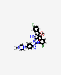 CCN1CCN(c2ccc(Nc3ncc4c(n3)NCC4(C(=O)c3ccc(F)cc3)C(=O)c3ccc(F)cc3)cc2)CC1